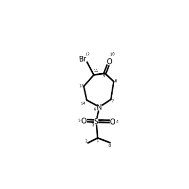 CC(C)S(=O)(=O)N1CCC(=O)C(Br)CC1